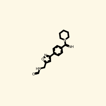 N=C(c1ccc(-c2cc(CNC=O)on2)cc1)N1CCCCC1